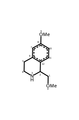 COCC1NCCc2cc(OC)ccc21